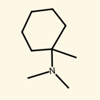 CN(C)C1(C)CCCCC1